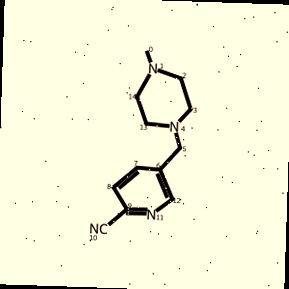 CN1CCN(Cc2ccc(C#N)nc2)CC1